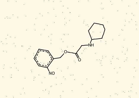 O=Nc1ccccc1COC(=O)CNC1CCCCC1